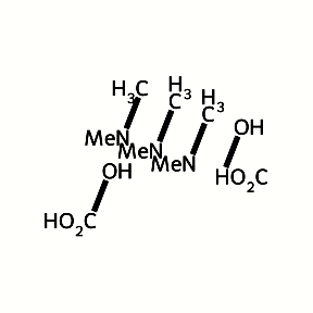 CNC.CNC.CNC.O=C(O)O.O=C(O)O